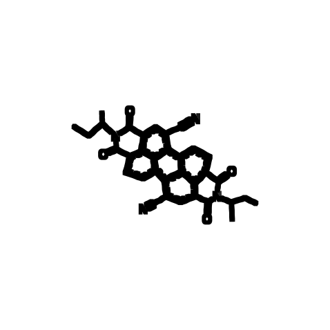 CCC(C)N1C(=O)c2ccc3c4c(C#N)cc5c6c(ccc(c7c(C#N)cc(c2c37)C1=O)c64)C(=O)N(C(C)CC)C5=O